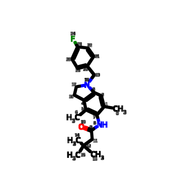 Cc1cc2c(c(C)c1NC(=O)CC(C)(C)C)CCN2Cc1ccc(F)cc1